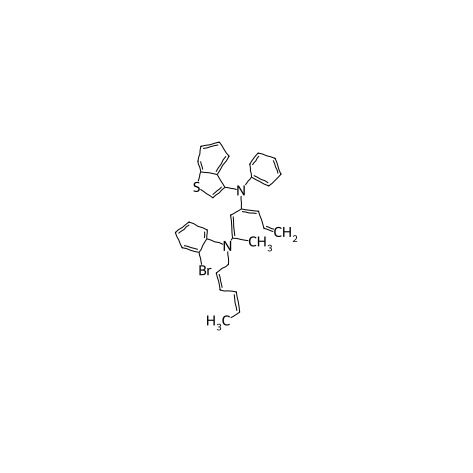 C=C/C=C(\C=C(/C)N(C/C=C\C=C/C)c1ccccc1Br)N(c1ccccc1)c1csc2ccccc12